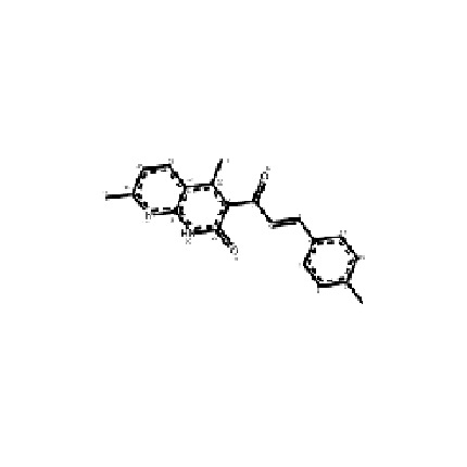 Cc1ccc(/C=C/C(=O)c2c(C)c3ccc(C)nc3[nH]c2=O)cc1